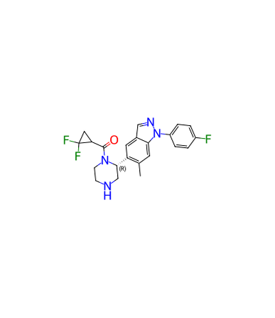 Cc1cc2c(cnn2-c2ccc(F)cc2)cc1[C@@H]1CNCCN1C(=O)C1CC1(F)F